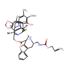 C=CCOC(=O)NC[C@H]1Cc2c(oc3ccccc23)[C@@]2(CS[C@@H]3c4c(OC(C)=O)c(C)c5c(c4[C@H](COC2=O)N2[C@@H]3[C@H]3c4c(cc(C)c(OC)c4O)C[C@H]([C@@H]2C#N)N3C)OCO5)N1